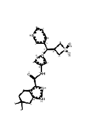 CC1(C)CCc2c(C(=O)Nc3cnn(C(c4cccnc4)C4CS(=O)(=O)C4)c3)n[nH]c2C1